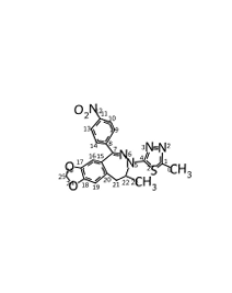 Cc1nnc(N2N=C(c3ccc([N+](=O)[O-])cc3)c3cc4c(cc3CC2C)OCO4)s1